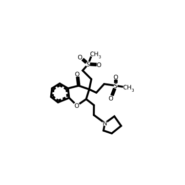 CS(=O)(=O)CCC1(CCS(C)(=O)=O)C(=O)c2ccccc2OC1CCN1CCCC1